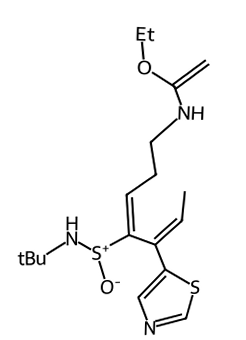 C=C(NCC/C=C(\C(=C/C)c1cncs1)[S+]([O-])NC(C)(C)C)OCC